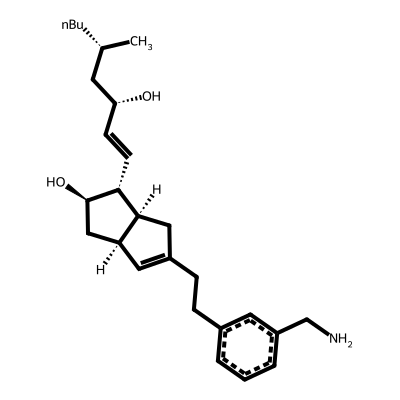 CCCC[C@H](C)C[C@H](O)/C=C/[C@@H]1[C@H]2CC(CCc3cccc(CN)c3)=C[C@H]2C[C@H]1O